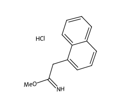 COC(=N)Cc1cccc2ccccc12.Cl